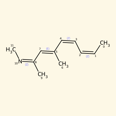 C\C=C/C=C\C(C)=C\C(C)=N/C